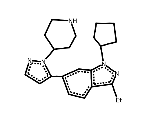 CCc1nn(C2CCCC2)c2cc(-c3ccnn3C3CCNCC3)ccc12